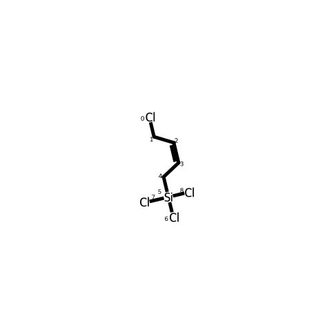 ClC/C=C\C[Si](Cl)(Cl)Cl